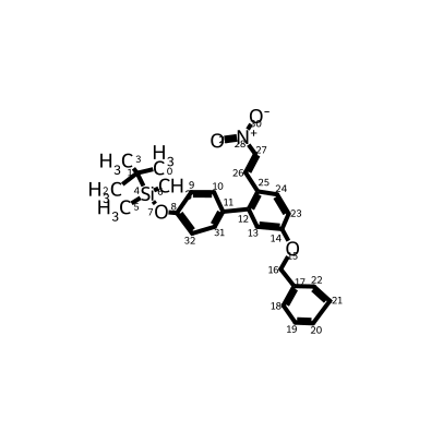 CC(C)(C)[Si](C)(C)Oc1ccc(-c2cc(OCc3ccccc3)ccc2C=C[N+](=O)[O-])cc1